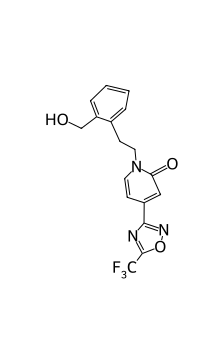 O=c1cc(-c2noc(C(F)(F)F)n2)ccn1CCc1ccccc1CO